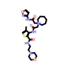 Cc1csc(C(=O)NCCN2CCOCC2)c1NC(=O)C[N+]1(CC(=O)Nc2ccon2)CCCCCC1